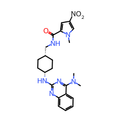 CN(C)c1nc(N[C@H]2CC[C@@H](CNC(=O)c3cc([N+](=O)[O-])cn3C)CC2)nc2ccccc12